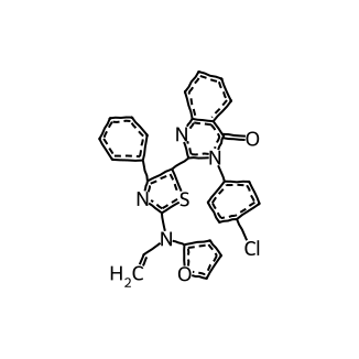 C=CN(c1ccco1)c1nc(-c2ccccc2)c(-c2nc3ccccc3c(=O)n2-c2ccc(Cl)cc2)s1